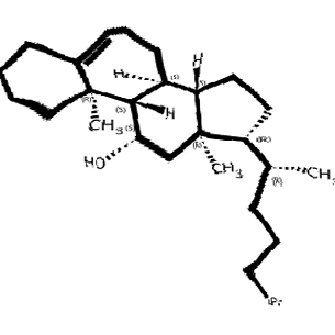 CC(C)CCC[C@@H](C)[C@H]1CC[C@H]2[C@@H]3CC=C4CCCC[C@]4(C)[C@H]3[C@@H](O)C[C@]12C